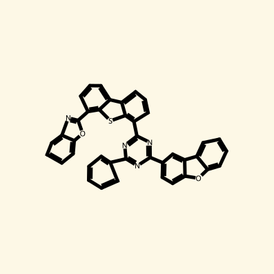 c1ccc(-c2nc(-c3ccc4oc5ccccc5c4c3)nc(-c3cccc4c3sc3c(-c5nc6ccccc6o5)cccc34)n2)cc1